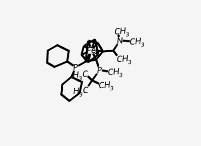 CC(N(C)C)[C]12[CH]3[CH]4[C]5(P(C6CCCCC6)C6CCCCC6)[C]1(P(C)C(C)(C)C)[Fe]34251678[CH]2[CH]1[CH]6[CH]7[CH]28